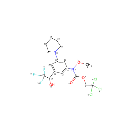 CON(C(=O)OCC(Cl)(Cl)Cl)c1cc(C(O)C(F)(F)F)cc(N2CCCCC2)c1